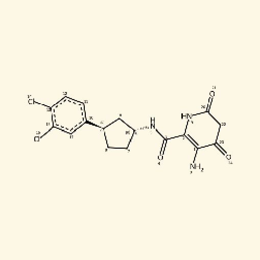 NC1=C(C(=O)N[C@@H]2CC[C@@H](c3ccc(Cl)c(Cl)c3)C2)NC(=O)CC1=O